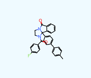 Cc1ccc(-c2ccc(C34c5ccccc5C(=O)N3CCN4C(=O)c3ccc(F)cc3)cc2)cc1